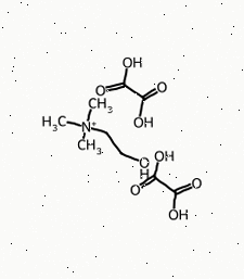 C[N+](C)(C)CCO.O=C(O)C(=O)O.O=C(O)C(=O)O